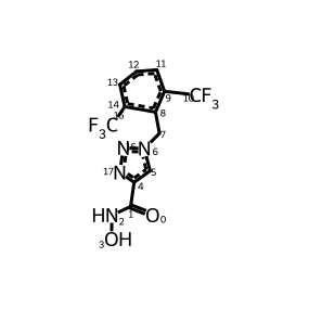 O=C(NO)c1cn(Cc2c(C(F)(F)F)cccc2C(F)(F)F)nn1